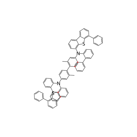 Cc1cc(N(c2ccccc2-c2ccccc2)c2cccc3c2sc2c(-c4ccccc4)cccc23)ccc1-c1ccc(N(c2ccccc2-c2ccccc2)c2cccc3c2sc2c(-c4ccccc4)cccc23)cc1C